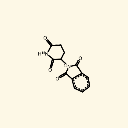 O=C1CCC([15N]2C(=O)c3ccccc3C2=O)C(=O)[15NH]1